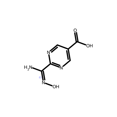 N/C(=N/O)c1ncc(C(=O)O)cn1